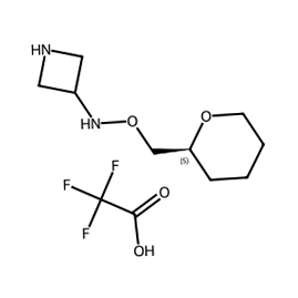 C1CC[C@@H](CONC2CNC2)OC1.O=C(O)C(F)(F)F